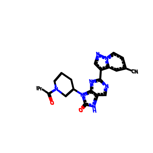 CC(C)C(=O)N1CCCC(n2c(=O)[nH]c3cnc(-c4cnn5ccc(C#N)cc45)nc32)C1